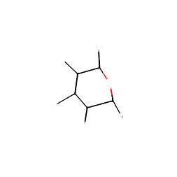 CCC1OC(C(C)C)C(C)C(C(C)C)C1C